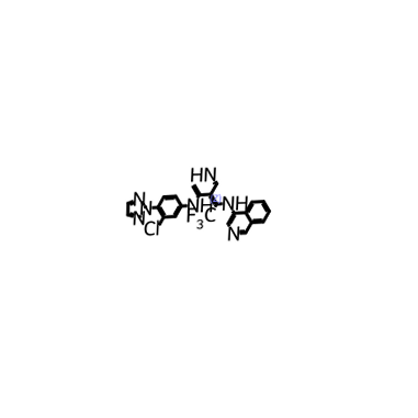 C=C(Nc1ccc(-n2nccn2)c(Cl)c1)/C(C=N)=C(/Nc1cncc2ccccc12)C(F)(F)F